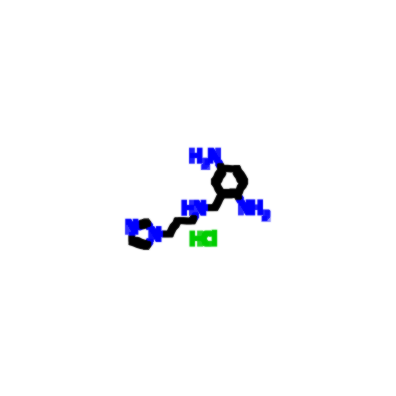 Cl.Nc1ccc(N)c(CNCCCn2ccnc2)c1